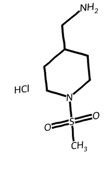 CS(=O)(=O)N1CCC(CN)CC1.Cl